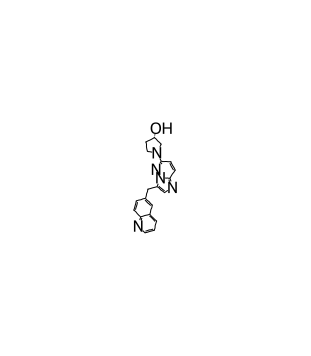 O[C@H]1CCN(c2ccc3ncc(Cc4ccc5ncccc5c4)n3n2)C1